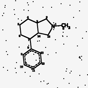 CN1CC2CCCC(c3ccccc3)C2C1